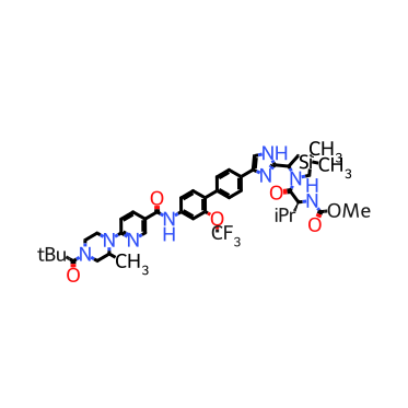 COC(=O)N[C@H](C(=O)N1C[Si](C)(C)CC1c1nc(-c2ccc(-c3ccc(NC(=O)c4ccc(N5CCN(C(=O)C(C)(C)C)CC5C)nc4)cc3OC(F)(F)F)cc2)c[nH]1)C(C)C